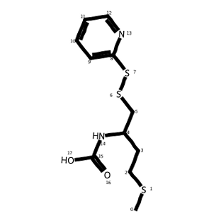 CSCCC(CSSc1ccccn1)NC(=O)O